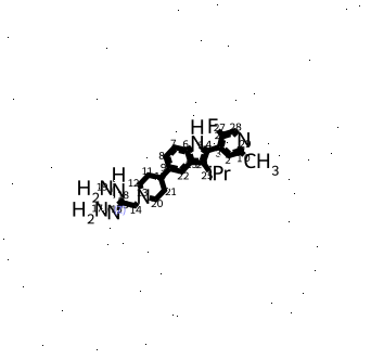 Cc1cc(-c2[nH]c3ccc(C4CCN(C/C(=N/N)NN)CC4)cc3c2C(C)C)c(F)cn1